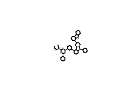 C/C=C\C(=C/C)c1nc(-c2ccccc2)nc(-c2cccc(-c3cccc4c3C3C=C(c5cccc6c5sc5ccccc56)C=CC3N4c3ccccc3)c2)n1